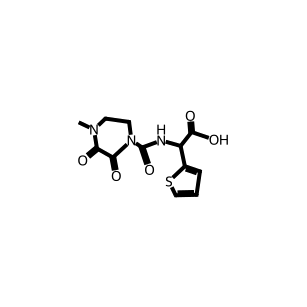 CN1CCN(C(=O)NC(C(=O)O)c2cccs2)C(=O)C1=O